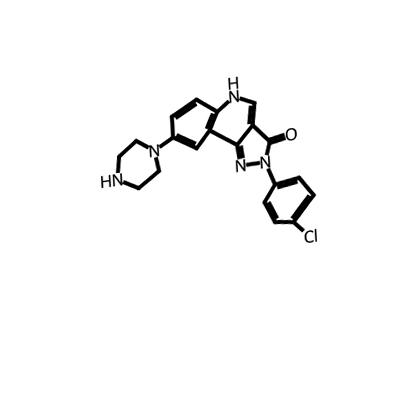 O=c1c2c[nH]c3ccc(N4CCNCC4)cc3c-2nn1-c1ccc(Cl)cc1